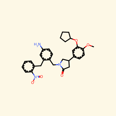 COc1ccc(C2CC(=O)N(Cc3ccc(N)cc3Cc3ccccc3[N+](=O)[O-])C2)cc1OC1CCCC1